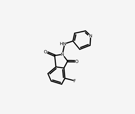 O=C1c2cccc(F)c2C(=O)N1Nc1ccncc1